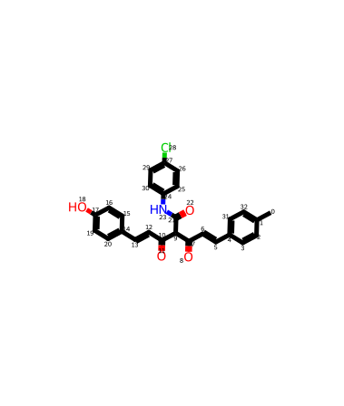 Cc1ccc(/C=C/C(=O)C(C(=O)/C=C/c2ccc(O)cc2)C(=O)Nc2ccc(Cl)cc2)cc1